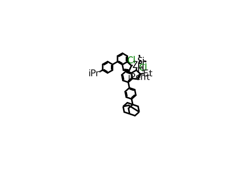 CCCC(C)C1=Cc2c(-c3ccc(C(C)C)cc3)cccc2[CH]1[Zr]([Cl])([Cl])([CH]1C(CC)=Cc2c(-c3ccc(C45CC6CC(CC(C6)C4)C5)cc3)cccc21)[SiH](C)C